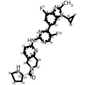 Cc1nc2c(F)cc(-c3nc(Nc4ccc5c(n4)CCN(C(=O)[C@@H]4CCCN4)C5)ncc3F)cc2n1C1CC1